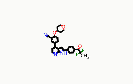 CC(F)(F)C(=O)c1ccc(-c2cc3c(-c4ccc(OC5CCOCC5)c(C#N)c4)ccnc3[nH]2)cc1